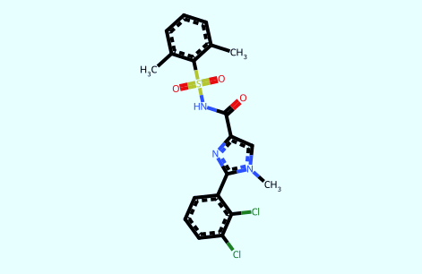 Cc1cccc(C)c1S(=O)(=O)NC(=O)c1cn(C)c(-c2cccc(Cl)c2Cl)n1